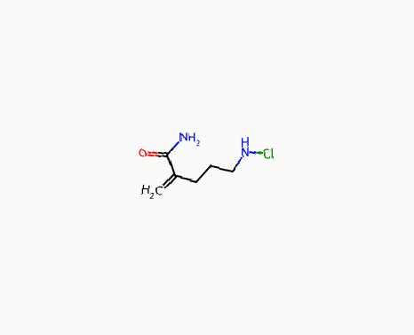 C=C(CCCNCl)C(N)=O